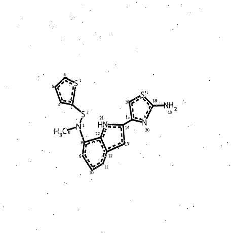 CN(Sc1cccs1)c1cccc2cc(-c3csc(N)n3)[nH]c12